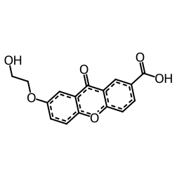 O=C(O)c1ccc2oc3ccc(OCCO)cc3c(=O)c2c1